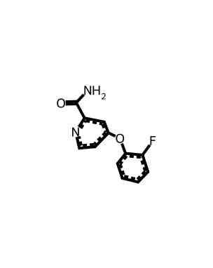 NC(=O)c1cc(Oc2ccccc2F)ccn1